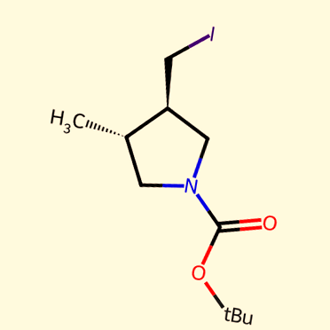 C[C@H]1CN(C(=O)OC(C)(C)C)C[C@@H]1CI